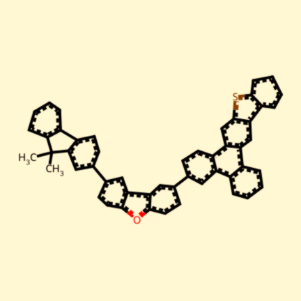 CC1(C)c2ccccc2-c2ccc(-c3ccc4oc5ccc(-c6ccc7c(c6)c6ccccc6c6cc8c(cc76)sc6ccccc68)cc5c4c3)cc21